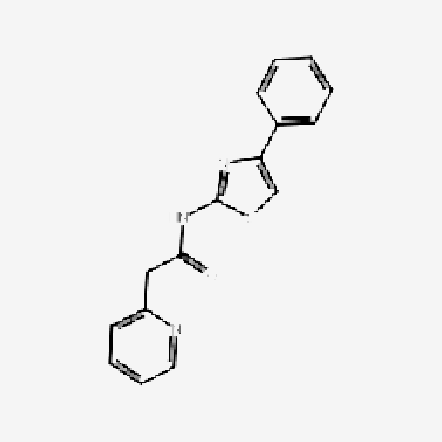 O=C(Cc1ccccn1)Nc1nc(-c2ccccc2)cs1